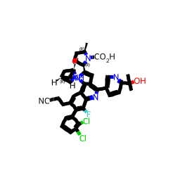 C[C@@H]1CC[C@H](c2cc3c(-c4ccc(C(C)(C)O)nc4)nc4c(F)c(-c5cccc(Cl)c5Cl)c(CCC#N)cc4c3n2[C@H]2[C@H]3CN[C@@H]2C3)N1C(=O)O